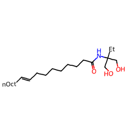 CCCCCCCCC=CCCCCCCCC(=O)NC(CC)(CO)CO